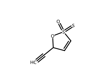 C#CC1C=CS(=O)(=S)O1